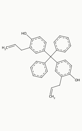 C=CCc1cc(C(c2ccccc2)(c2ccccc2)c2ccc(O)c(CC=C)c2)ccc1O